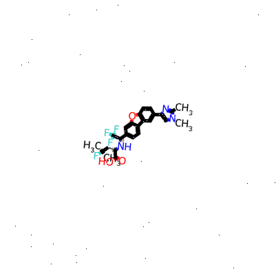 Cc1nc(-c2ccc3oc4cc([C@H](N[C@@H](CC(C)(C)F)C(=O)O)C(F)(F)F)ccc4c3c2)cn1C